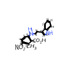 Cc1c([N+](=O)[O-])ccc(NCCc2c[nH]c3ccccc23)c1C(=O)O